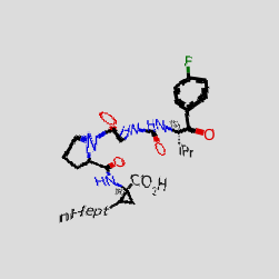 CCCCCCCC1C[C@]1(NC(=O)C1CCCN1C(=O)CNC(=O)N[C@H](C(=O)c1ccc(F)cc1)C(C)C)C(=O)O